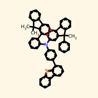 CC1(C)c2ccccc2-c2cccc(-c3ccccc3N(c3ccc(-c4cccc5c4sc4ccccc45)cc3)c3ccc4c(c3)C(C)(c3ccccc3)c3ccccc3-4)c21